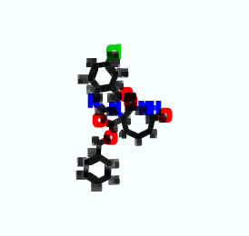 O=C1CCCC(C(=O)OCc2ccccc2)(n2cnc3ccc(Cl)cc3c2=O)C(=O)N1